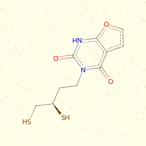 O=c1[nH]c2occc2c(=O)n1CC[C@@H](S)CS